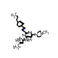 C=CCc1ccc(/C=C/c2nc(Nc3cc(C)[nH]n3)cc(N3CCN(C)CC3)n2)cc1